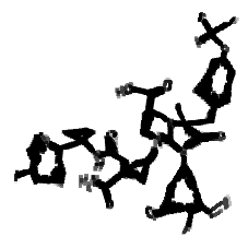 C[C@@]1(Cc2ccc(OC(F)(F)F)cc2)C(=O)N(c2cc(Cl)c(F)c(Cl)c2)C2N(C3CC3(C(N)=O)C(=O)NC3(c4ccc(I)cn4)CC3)C=C(C(=O)O)N21